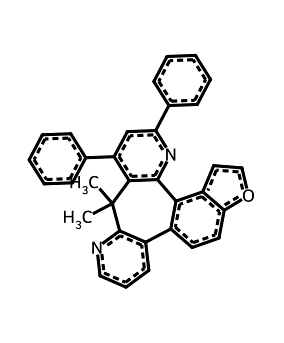 CC1(C)c2ncccc2-c2ccc3occc3c2-c2nc(-c3ccccc3)cc(-c3ccccc3)c21